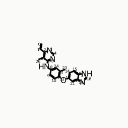 C=Cc1ncnc(Nc2ccc(Oc3ccc4[nH]cnc4c3)c(C)c2)c1C